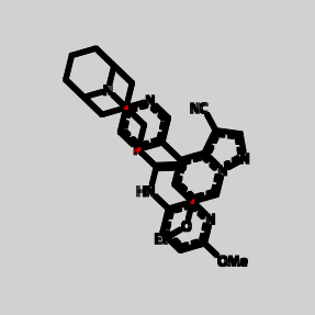 CCOc1cc(-c2cnc(N3C4CCCC3CC(CCC(=O)Nc3ccc(OC)nc3)C4)cn2)c2c(C#N)cnn2c1